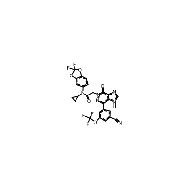 N#Cc1cc(OC(F)(F)F)cc(-c2nn(CC(=O)N(c3ccc4c(c3)OC(F)(F)O4)C3CC3)c(=O)c3nc[nH]c23)c1